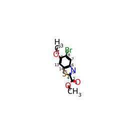 COC(=O)c1nc2cc(Br)c(OC)cc2s1